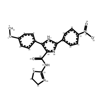 COc1ccc(-c2[nH]c(-c3ccc([N+](=O)[O-])cc3)nc2C(=O)NC2=NCCS2)cc1